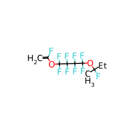 C=C(F)OC(F)(F)C(F)(F)C(F)(F)C(F)(F)OC(C)(F)CC